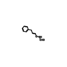 O=CNOC=CCc1ccccc1